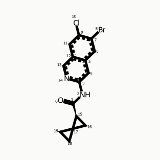 O=C(Nc1cc2cc(Br)c(Cl)cc2cn1)[C@H]1CC12CC2